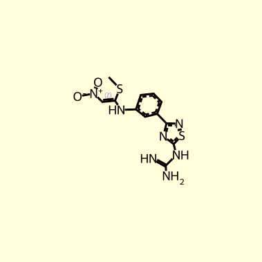 CS/C(=C\[N+](=O)[O-])Nc1cccc(-c2nsc(NC(=N)N)n2)c1